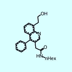 CCCCCCNC(=O)Cc1cnc2c(CCO)cccc2c1-c1ccccc1